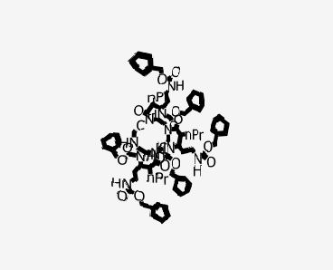 CCCC(C(=O)N1CCNCCN(C(=O)C(CCC)C(CCNC(=O)OCc2ccccc2)NC(=O)OCc2ccccc2)CCN(C(=O)C(CCC)C(CCNC(=O)OCc2ccccc2)NC(=O)OCc2ccccc2)CC1)C(CCNC(=O)OCc1ccccc1)NC(=O)OCc1ccccc1